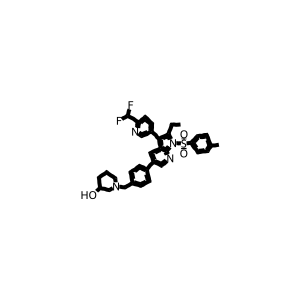 CCc1c(-c2ccc(C(F)F)nc2)c2cc(-c3ccc(CN4CCCC(O)C4)cc3)cnc2n1S(=O)(=O)c1ccc(C)cc1